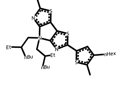 CCCCCCc1cc(-c2nc3c(s2)-c2sc(C)nc2[Si]3(CC(CC)CCCC)CC(CC)CCCC)sc1C